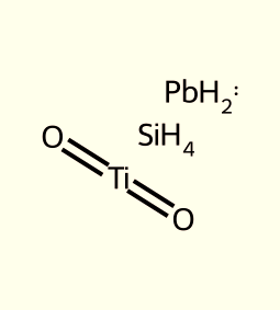 [O]=[Ti]=[O].[PbH2].[SiH4]